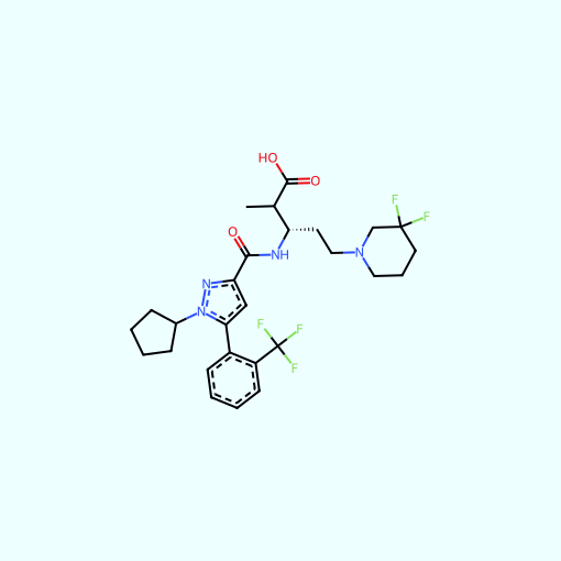 CC(C(=O)O)[C@H](CCN1CCCC(F)(F)C1)NC(=O)c1cc(-c2ccccc2C(F)(F)F)n(C2CCCC2)n1